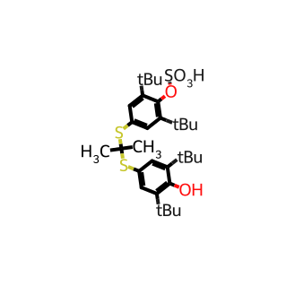 CC(C)(Sc1cc(C(C)(C)C)c(O)c(C(C)(C)C)c1)Sc1cc(C(C)(C)C)c(OS(=O)(=O)O)c(C(C)(C)C)c1